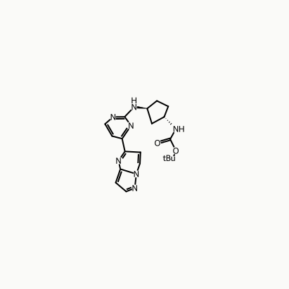 CC(C)(C)OC(=O)N[C@H]1CC[C@H](Nc2nccc(-c3ccn4nccc4n3)n2)C1